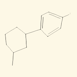 CC1C[CH]CC(c2ccc(Cl)cc2)C1